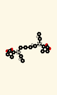 c1cc(-c2ccc(-c3ccc4c(c3)oc3cc(-c5nc(-c6ccc7c(c6)-c6ccccc6-c6ccccc6C76c7ccccc7-c7ccccc76)nc(-c6ccc7c(c6)oc6ccccc67)n5)ccc34)cc2)cc(-c2nc(-c3ccc4c(c3)-c3ccccc3-c3ccccc3C43c4ccccc4-c4ccccc43)nc(-c3ccc4c(c3)oc3ccccc34)n2)c1